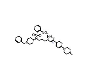 C/C(=C\N(N)CCCN(C1CCN(CC2=CCCC=C2)CC1)S(=O)(=O)C1=C([N+](=O)[O-])C=CCC1)C1=CC=C(N2CCN(C)CC2)CC1